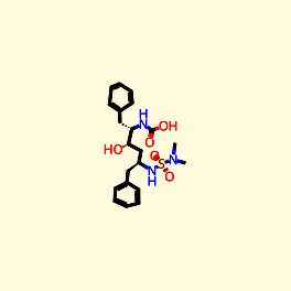 CN(C)S(=O)(=O)N[C@@H](Cc1ccccc1)C[C@H](O)[C@H](Cc1ccccc1)NC(=O)O